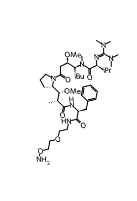 CC[C@H](C)[C@@H]([C@@H](CC(=O)N1CCC[C@H]1[C@H](OC)[C@@H](C)C(=O)N[C@@H](Cc1ccccc1)C(=O)NCCOCCON)OC)N(C)C(=O)[C@@H](N=C(N(C)C)N(C)C)C(C)C